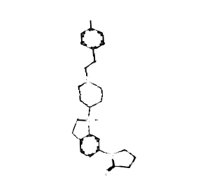 C[N+]1(C2CCN(CCc3ccc(F)cc3)CC2)CCc2ccc(N3CCCC3=O)cc21